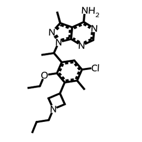 CCCN1CC(c2c(C)c(Cl)cc(C(C)n3nc(C)c4c(N)ncnc43)c2OCC)C1